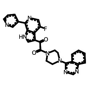 O=C(C(=O)N1CCN(c2ncnc3ccccc23)CC1)c1c[nH]c2c(-c3cccnc3)ncc(F)c12